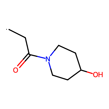 [CH2]CC(=O)N1CCC(O)CC1